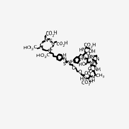 C[C@H](NC(=O)[C@H](CC(=O)O)NC(=O)COCCOCCNC(=S)Nc1ccc(CCC(C(=O)O)N2CCN(CC(=O)O)CCN(CC(=O)O)CCN(CC(=O)O)CC2)cc1)C(=O)N[C@@H](Cc1c[nH]cn1)C(=O)N[C@@H](CO)C(=O)N[C@@H](Cc1ccccc1)C(=O)N[C@@H](CO)C(=O)O